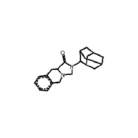 O=C1C2Cc3ccccc3CN2CN1C1C2CC3CC(C2)CC1C3